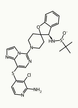 CC(C)(C)[S+]([O-])N[C@@H]1c2ccccc2OC12CCN(c1ncc(Sc3ccnc(N)c3Cl)c3nccn13)CC2